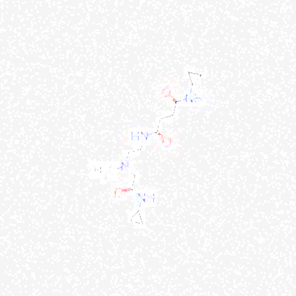 CN(CCNC(=O)CCC(=O)NC1CC1)CC(=O)NC1CC1